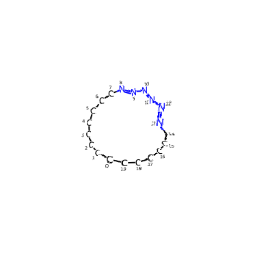 C1CCCCCCC/N=N/N=N/N=N/CCCCCC1